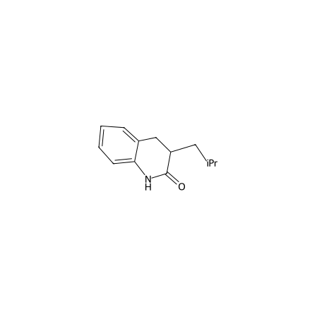 CC(C)CC1Cc2ccccc2NC1=O